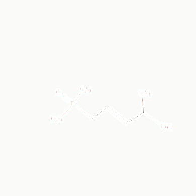 O=P(O)(O)CC=CC(O)O